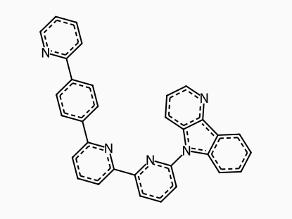 c1ccc(-c2ccc(-c3cccc(-c4cccc(-n5c6ccccc6c6ncccc65)n4)n3)cc2)nc1